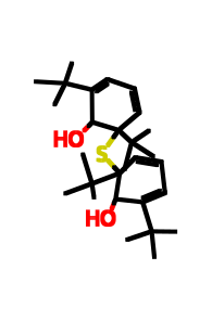 CC(C)(C)C1=CC=CC(SC2(C(C)(C)C)C=CC=C(C(C)(C)C)C2O)(C(C)(C)C)C1O